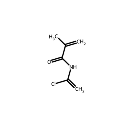 C=C(Cl)NC(=O)C(=C)C